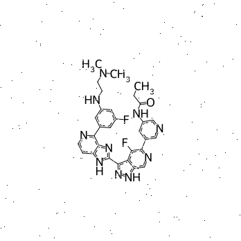 CCC(=O)Nc1cncc(-c2ncc3[nH]nc(-c4nc5c(-c6cc(F)cc(NCCN(C)C)c6)nccc5[nH]4)c3c2F)c1